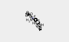 CC(C)(C)OC(=O)N[C@H]1CSc2cc(F)c(/C(N)=N/OC(=O)C(C)(C)S(C)(=O)=O)cc2NC1=O